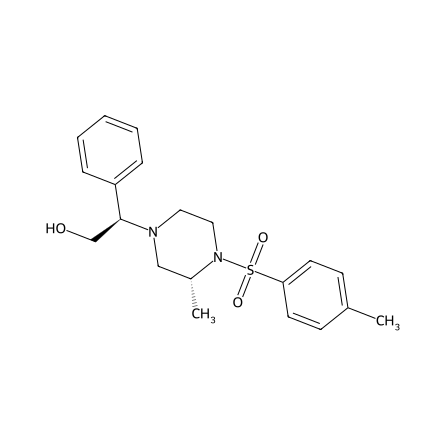 Cc1ccc(S(=O)(=O)N2CCN([C@@H](CO)c3ccccc3)C[C@H]2C)cc1